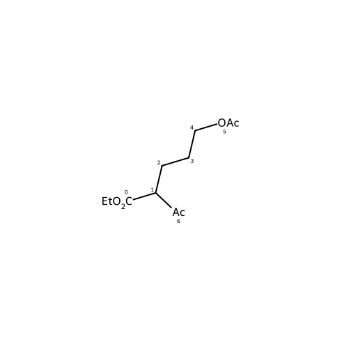 CCOC(=O)C(CCCOC(C)=O)C(C)=O